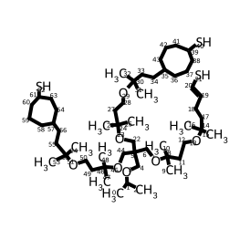 CC(C)OCC(COC(C)(C)CCOC(C)(C)CCC=CS)(COC(C)(C)CCOC(C)(C)CCC1CCCC(S)CCC1)COC(C)(C)CCOC(C)(C)CCC1CCCC(S)CC1